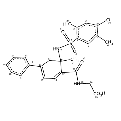 Cc1cc(S(=O)(=O)NC2(C)CC(c3ccccc3)=CC=C2C(=O)NCC(=O)O)c(C)cc1Cl